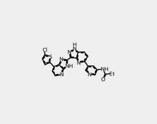 CCC(=O)Nc1cncc(-c2ccc3[nH]nc(-c4nc5c(-c6ccc(Cl)s6)ccnc5[nH]4)c3n2)c1